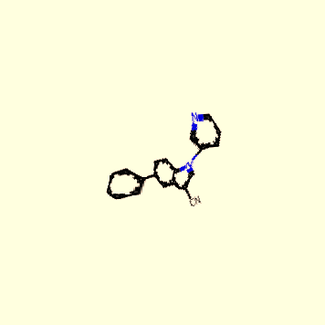 N#Cc1cn(-c2cccnc2)c2ccc(-c3ccccc3)cc12